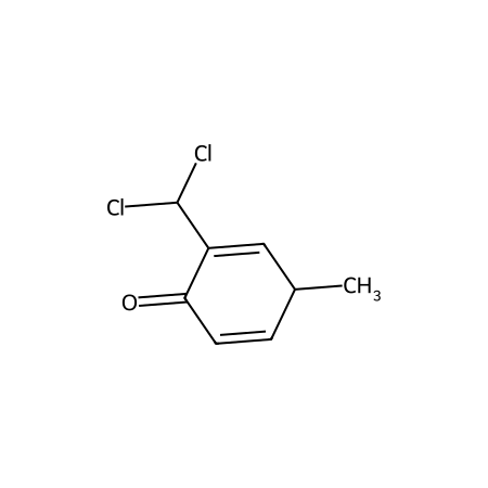 CC1C=CC(=O)C(C(Cl)Cl)=C1